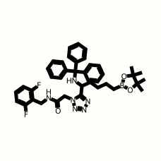 CC1(C)OB(CCCCC(NC(c2ccccc2)(c2ccccc2)c2ccccc2)c2nnnn2CC(=O)NCc2c(F)cccc2F)OC1(C)C